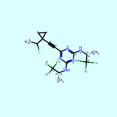 CC(F)C1(C#Cc2nc(N[C@H](C)C(F)(F)F)nc(N[C@H](C)C(F)(F)F)n2)CC1